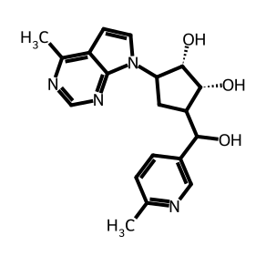 Cc1ccc(C(O)C2CC(n3ccc4c(C)ncnc43)[C@H](O)[C@@H]2O)cn1